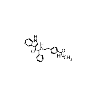 CNC(=O)c1ccc(CCN[C@H](C(=O)c2c[nH]c3ccccc23)c2ccccc2)cc1